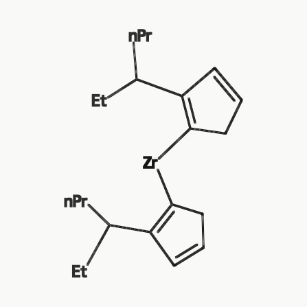 CCCC(CC)C1=[C]([Zr][C]2=C(C(CC)CCC)C=CC2)CC=C1